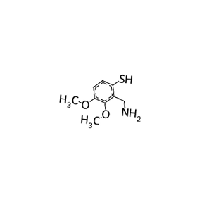 COc1ccc(S)c(CN)c1OC